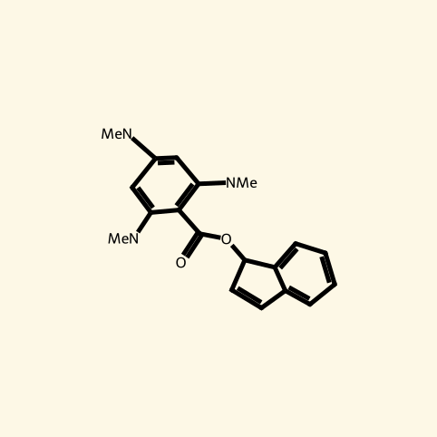 CNc1cc(NC)c(C(=O)OC2C=Cc3ccccc32)c(NC)c1